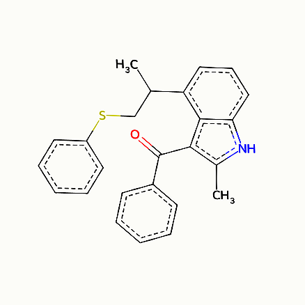 Cc1[nH]c2cccc(C(C)CSc3ccccc3)c2c1C(=O)c1ccccc1